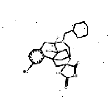 O=C1NC(=O)[C@@]2(CC[C@@]3(O)[C@H]4Cc5ccc(O)cc5C3(CCCN4CC3CCCCC3)C2)N1